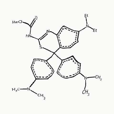 CCN(CC)c1ccc2c(c1)N=C(NC(=O)OC)SC2(c1ccc(N(C)C)cc1)c1ccc(N(C)C)cc1